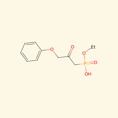 CCOP(=O)(O)CC(=O)COc1ccccc1